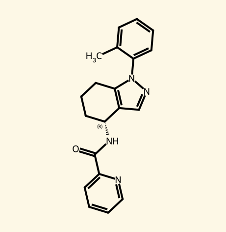 Cc1ccccc1-n1ncc2c1CCC[C@H]2NC(=O)c1ccccn1